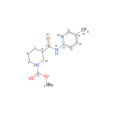 CC(C)(C)OC(=O)N1CCCC(C(=O)Nc2ccc(C(F)(F)F)cn2)C1